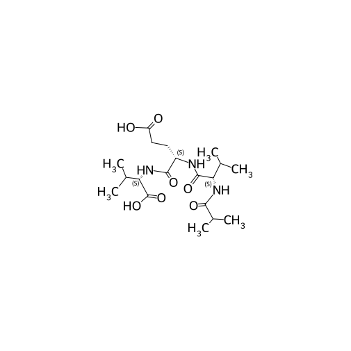 CC(C)C(=O)N[C@H](C(=O)N[C@@H](CCC(=O)O)C(=O)N[C@H](C(=O)O)C(C)C)C(C)C